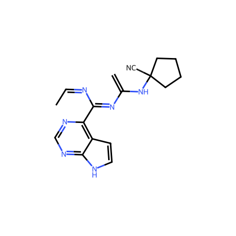 C=C(/N=C(\N=C/C)c1ncnc2[nH]ccc12)NC1(C#N)CCCC1